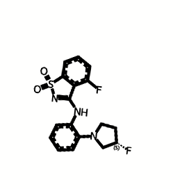 O=S1(=O)N=C(Nc2ccccc2N2CC[C@H](F)C2)c2c(F)cccc21